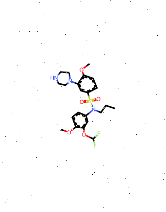 CCCN(c1ccc(OC)c(OC(F)F)c1)S(=O)(=O)c1ccc(OC)c(N2CCNCC2)c1